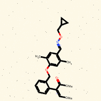 CO/C=C(\C(=O)OC)c1ccccc1COc1cc(C)c(/C=N/OCC2CC2)cc1C